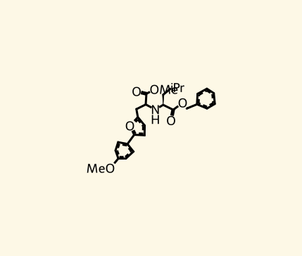 COC(=O)C(Cc1ccc(-c2ccc(OC)cc2)o1)N[C@@H](CC(C)C)C(=O)OCc1ccccc1